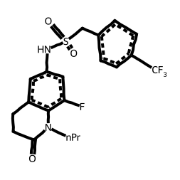 CCCN1C(=O)CCc2cc(NS(=O)(=O)Cc3ccc(C(F)(F)F)cc3)cc(F)c21